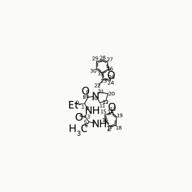 CC[C@H](NC(=O)[C@H](C)N)C(=O)N1C[C@@H](Oc2ccccc2)C[C@H]1Cc1coc2ccccc12